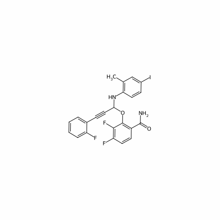 Cc1cc(I)ccc1NC(C#Cc1ccccc1F)Oc1c(C(N)=O)ccc(F)c1F